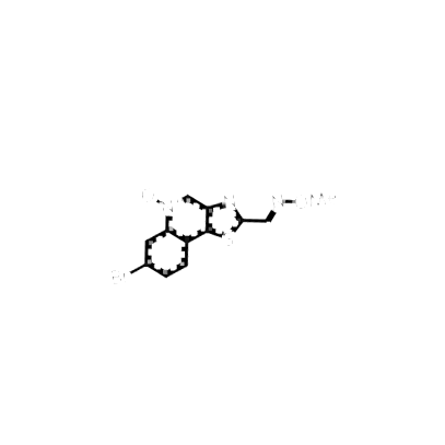 CO/N=C/c1nc2c[n+]([O-])c3cc(Br)ccc3c2s1